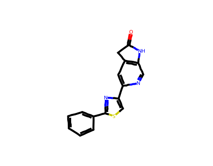 O=C1Cc2cc(-c3csc(-c4ccccc4)n3)ncc2N1